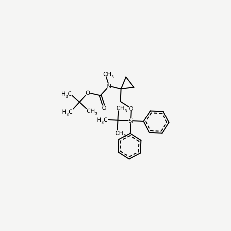 CN(C(=O)OC(C)(C)C)C1(CO[Si](c2ccccc2)(c2ccccc2)C(C)(C)C)CC1